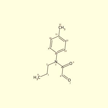 CCCN(C(=O)C=O)c1ccc(C)cc1